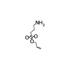 C=CCOS(=O)(=O)CCCN